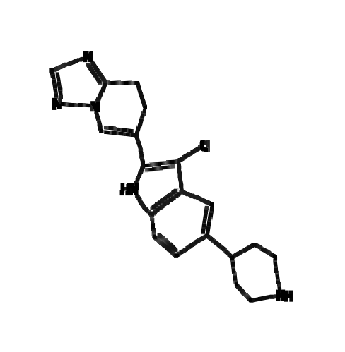 Clc1c(C2=Cn3ncnc3CC2)[nH]c2ccc(C3CCNCC3)cc12